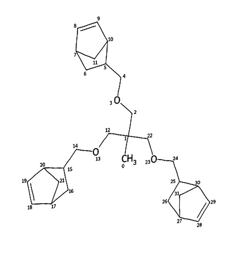 CC(COCC1CC2C=CC1C2)(COCC1CC2C=CC1C2)COCC1CC2C=CC1C2